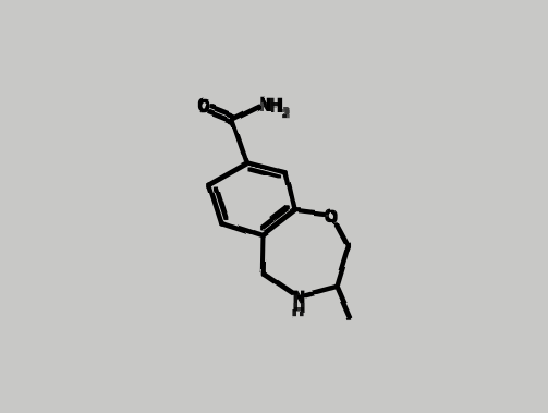 CC1COc2cc(C(N)=O)ccc2CN1